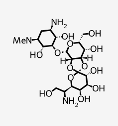 CN[C@H]1C[C@@H](N)[C@H](O)[C@@H](O[C@@H]2O[C@H](CO)[C@H](O)[C@@H]3O[C@@]4(O[C@H]23)O[C@H](C(N)CO)[C@H](O)[C@H](O)[C@H]4O)[C@@H]1O